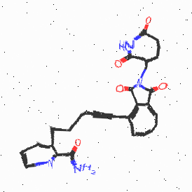 NC(=O)c1ncccc1CCCC#Cc1cccc2c1C(=O)N(C1CCC(=O)NC1=O)C2=O